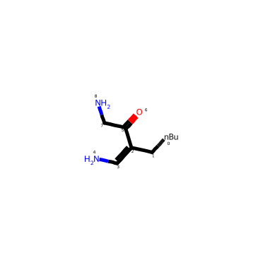 CCCCCC(=CN)C(=O)CN